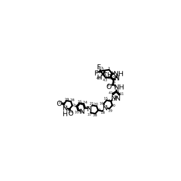 C[C@@]12Cc3[nH]nc(C(=O)Nc4cnn(C5CCN(CC6CCN(c7ccc([C@H]8CCC(=O)NC8=O)cn7)CC6)CC5)c4)c3C[C@@H]1C2(F)F